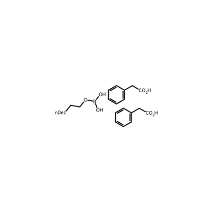 CCCCCCCCCCCCOB(O)O.O=C(O)Cc1ccccc1.O=C(O)Cc1ccccc1